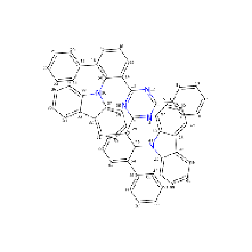 C1=CC(c2nc(-c3ccccc3)nc(-c3cccc(-c4ccccc4)c3-n3c4ccccc4c4ccccc43)n2)C(n2c3ccccc3c3ccccc32)C(c2ccccc2)=C1